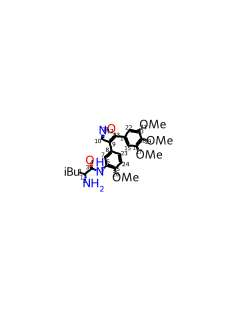 CCC(C)C(N)C(=O)Nc1cc(-c2cnoc2-c2cc(OC)c(OC)c(OC)c2)ccc1OC